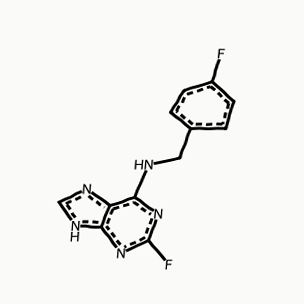 Fc1ccc(CNc2nc(F)nc3[nH]cnc23)cc1